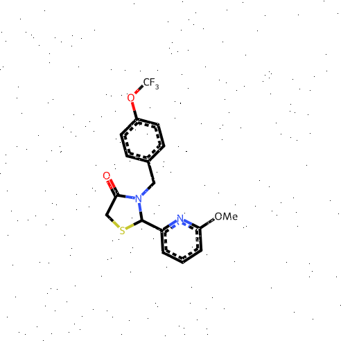 COc1cccc(C2SCC(=O)N2Cc2ccc(OC(F)(F)F)cc2)n1